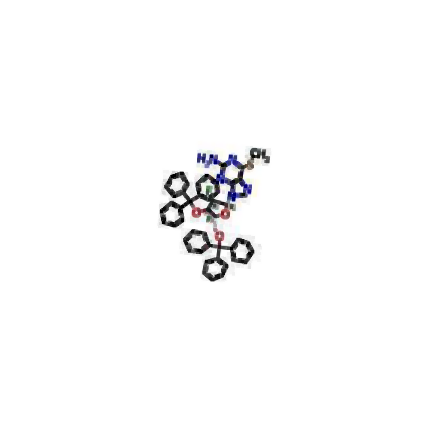 CSc1nc(N)nc2c1ncn2[C@@H]1O[C@H](COC(c2ccccc2)(c2ccccc2)c2ccccc2)[C@@H](OC(c2ccccc2)(c2ccccc2)c2ccccc2)[C@H]1F